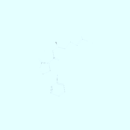 CC(C)=CCC[C@H](C)[C@@H](C)C(=O)N1C(=O)OC[C@H]1Cc1ccccc1